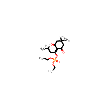 CCOP(=O)(OCC)OC(CC(C)C)=C1C(=O)CC(C)(C)CC1=O